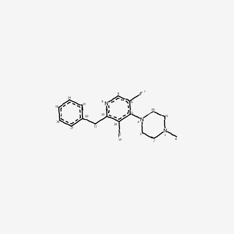 CN1CCN(c2c(F)cnc(Cc3ccccc3)c2F)CC1